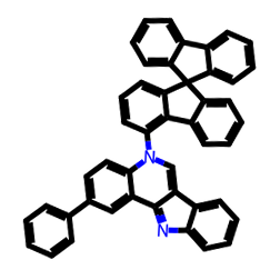 c1ccc(-c2ccc3c(c2)c2nc4ccccc4c-2cn3-c2cccc3c2-c2ccccc2C32c3ccccc3-c3ccccc32)cc1